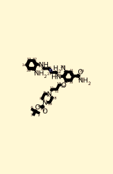 CC(C)(C)OC(=O)N1CCN(CCCOc2cc(C(N)=O)cc(N)c2NC/C=C/CNc2ccccc2N)CC1